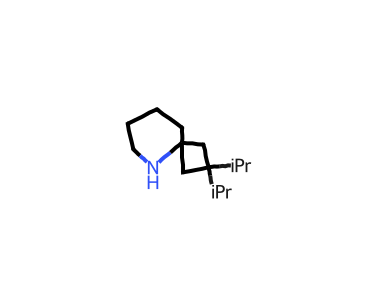 CC(C)C1(C(C)C)CC2(CCCCN2)C1